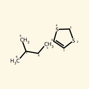 C1=CSCS1.CCC(C)C